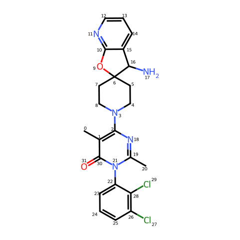 Cc1c(N2CCC3(CC2)Oc2ncccc2C3N)nc(C)n(-c2cccc(Cl)c2Cl)c1=O